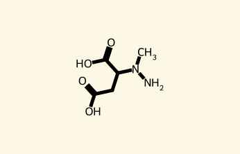 CN(N)C(CC(=O)O)C(=O)O